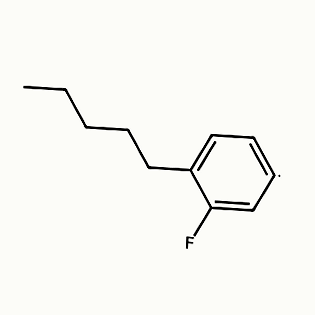 CCCCCc1cc[c]cc1F